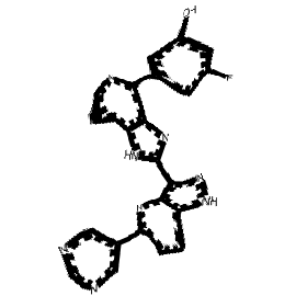 Oc1cc(F)cc(-c2nccc3[nH]c(-c4n[nH]c5ccc(-c6cncnc6)nc45)nc23)c1